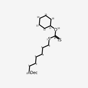 CCCCCCCCCCCCCCCCSC(=S)OC1CCCCC1